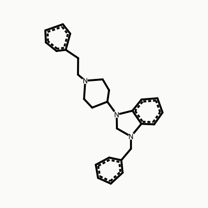 c1ccc(CCN2CCC(N3CN(Cc4ccccc4)c4ccccc43)CC2)cc1